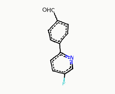 O=Cc1ccc(-c2ccc(F)cn2)cc1